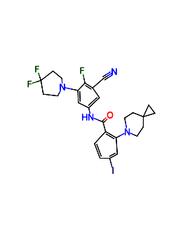 N#Cc1cc(NC(=O)c2ccc(I)cc2N2CCC3(CC2)CC3)cc(N2CCC(F)(F)CC2)c1F